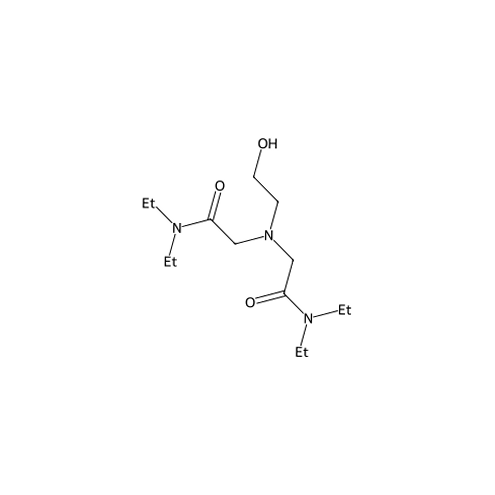 CCN(CC)C(=O)CN(CCO)CC(=O)N(CC)CC